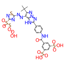 CC(C)(C)c1nn2nc(-c3ccc(NC(=O)c4cc(S(=O)(=O)O)cc(S(=O)(=O)O)c4)cc3)[nH]c2c1N=Nc1nc(S(=O)(=O)SOOO)ns1